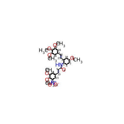 COc1ccc(NC(=O)/C=C/c2cc(OC)c(OC)c([N+](=O)[O-])c2)c(/C=C/c2cc(OC)c(OC)c(OC)c2)c1